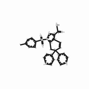 Cc1ccc(S(=O)(=O)n2nc(C(=O)O)c3c2CC(c2ccncc2)(c2ccncc2)C=C3)cc1